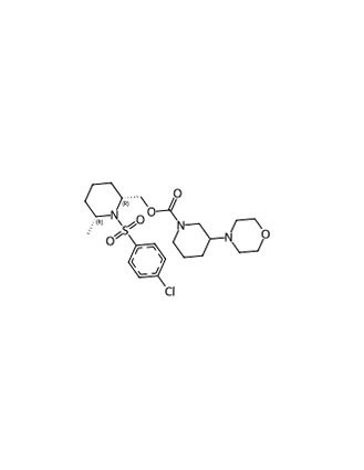 C[C@@H]1CCC[C@H](COC(=O)N2CCCC(N3CCOCC3)C2)N1S(=O)(=O)c1ccc(Cl)cc1